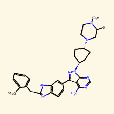 CCC1CN([C@H]2CC[C@H](n3nc(-c4ccc5nc(Cc6ccccc6OC)[nH]c5c4)c4c(N)ncnc43)CC2)CCN1C(=O)O